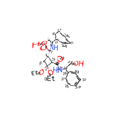 CCOC1(OCC)C[C@H](C(=O)N[C@@H](CO)c2ccccc2)[C@H]1C(=O)N[C@@H](CO)c1ccccc1